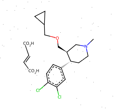 CN1CC[C@H](c2ccc(Cl)c(Cl)c2)[C@@H](COCC2CC2)C1.O=C(O)/C=C/C(=O)O